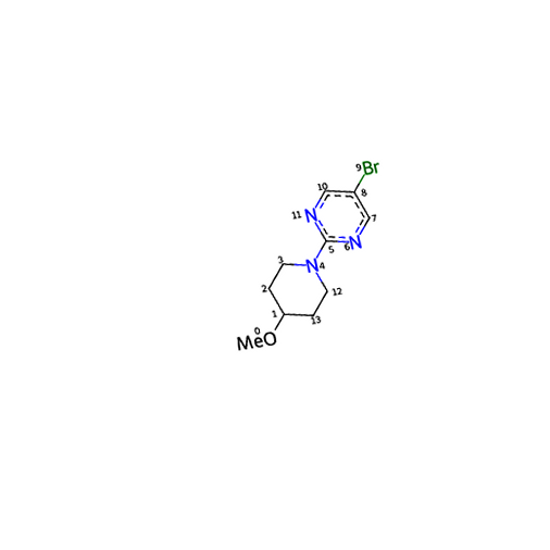 COC1CCN(c2ncc(Br)cn2)CC1